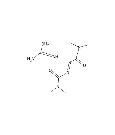 CN(C)C(=O)N=NC(=O)N(C)C.N=C(N)N